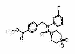 COC(=O)c1ccc(CN(C(=O)N2CCS(=O)(=O)CC2)c2cccc(F)c2)cc1